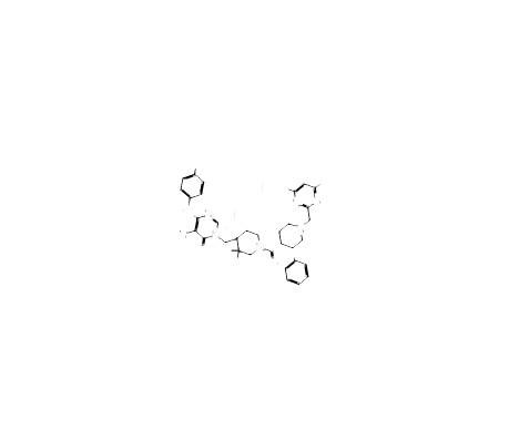 Cc1cc(C)nc(CN2CC[C@@H](C(=O)N3CC[C@](O)(Cn4cnc(Oc5ccc(F)cc5)c(N)c4=O)C(F)(F)C3)[C@H](c3ccccc3)C2)n1